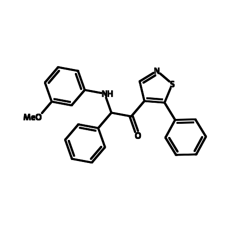 COc1cccc(NC(C(=O)c2cnsc2-c2ccccc2)c2ccccc2)c1